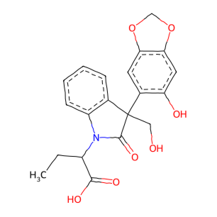 CCC(C(=O)O)N1C(=O)C(CO)(c2cc3c(cc2O)OCO3)c2ccccc21